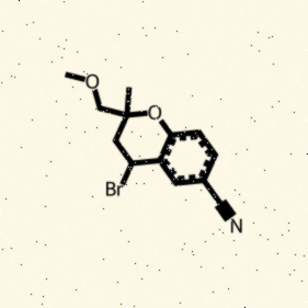 COCC1(C)CC(Br)c2cc(C#N)ccc2O1